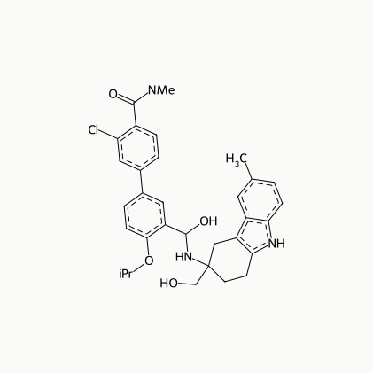 CNC(=O)c1ccc(-c2ccc(OC(C)C)c(C(O)NC3(CO)CCc4[nH]c5ccc(C)cc5c4C3)c2)cc1Cl